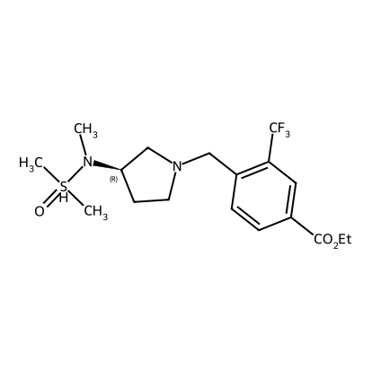 CCOC(=O)c1ccc(CN2CC[C@@H](N(C)[SH](C)(C)=O)C2)c(C(F)(F)F)c1